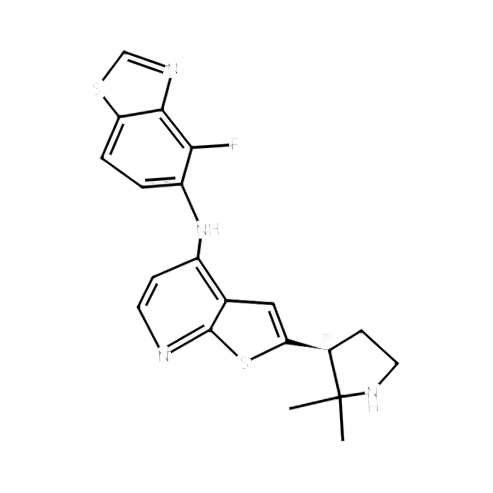 CC1(C)NCC[C@@H]1c1cc2c(Nc3ccc4scnc4c3F)ccnc2s1